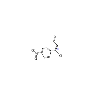 O=C/C=C(/Cl)c1ccc([N+](=O)[O-])cc1